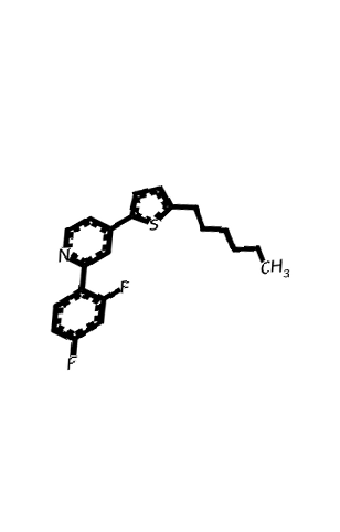 CCCCCCc1ccc(-c2ccnc(-c3ccc(F)cc3F)c2)s1